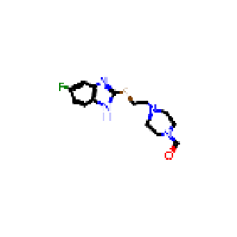 O=CN1CCN(CCSc2nc3cc(F)ccc3[nH]2)CC1